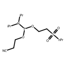 CCCS(=O)(=O)CCOP(OCCC#N)N(C(C)C)C(C)C